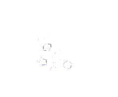 O=C(NCc1ccccc1Cl)c1nnn(Cc2cc(C(F)(F)F)cc(C(F)(F)F)c2)c1Cl